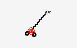 CC(C)CCCCCCCCCCCCCOP(=O)(Oc1ccccc1)Oc1ccccc1